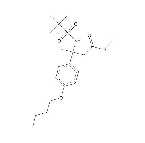 CCCCOc1ccc(C(C)(CC(=O)OC)NS(=O)(=O)C(C)(C)C)cc1